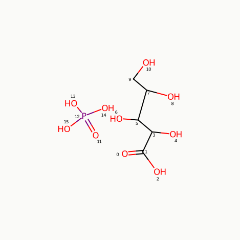 O=C(O)C(O)C(O)C(O)CO.O=P(O)(O)O